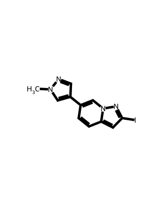 Cn1cc(-c2ccc3cc(I)nn3c2)cn1